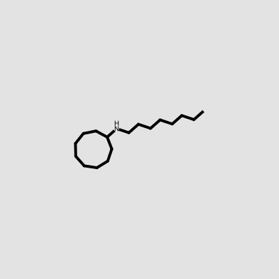 CCCCCCCCNC1CCCCCCCC1